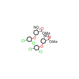 COC(=O)c1cc(Oc2ccc(Cl)cc2Cl)ccc1[N+](=O)[O-].COC(=O)c1cc(Oc2ccc(Cl)cc2Cl)ccc1[N+](=O)[O-]